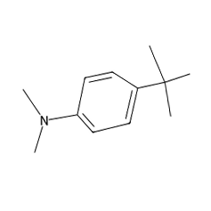 CN(C)c1ccc(C(C)(C)C)cc1